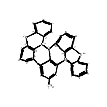 Cc1cc2c3c(c1)N1c4ccccc4Sc4cccc(c41)B3N1c3ccccc3Sc3cccc-2c31